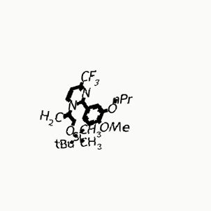 C=C(CO[Si](C)(C)C(C)(C)C)N1C=CC(C(F)(F)F)=NC1c1ccc(OC)c(OCCC)c1